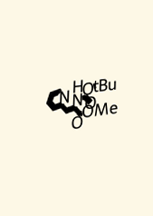 COC(=O)/C(=C/c1ccccn1)NC(=O)OC(C)(C)C